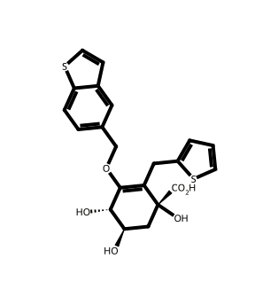 O=C(O)[C@@]1(O)C[C@@H](O)[C@H](O)C(OCc2ccc3sccc3c2)=C1Cc1cccs1